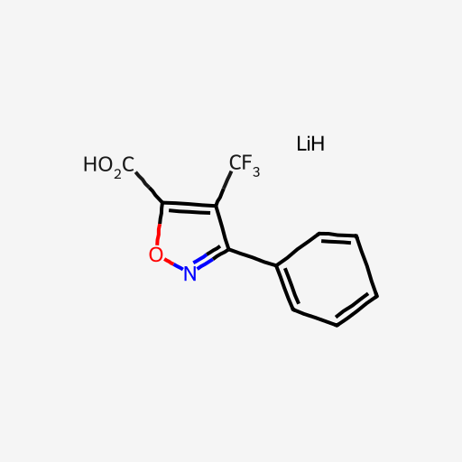 O=C(O)c1onc(-c2ccccc2)c1C(F)(F)F.[LiH]